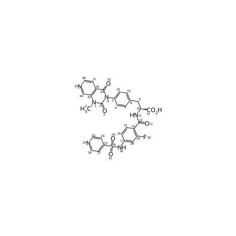 Cn1c(=O)n(-c2ccc(C[C@H](NC(=O)c3ccc(NS(=O)(=O)c4ccncc4)cc3F)C(=O)O)cc2)c(=O)c2ccncc21